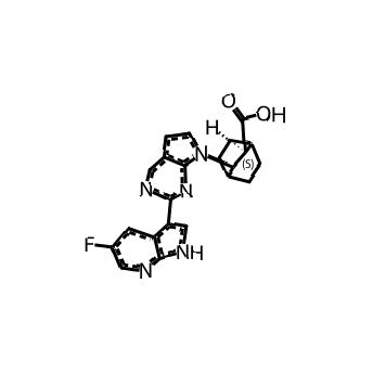 O=C(O)[C@H]1C2CCC(CC2)C1n1ccc2cnc(-c3c[nH]c4ncc(F)cc34)nc21